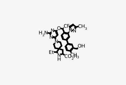 CCC1NC(C(=O)O)CC12CCN(c1cc(O[C@H](c3ccc(-c4ccc(C)c(CO)c4)cc3-n3ccc(C)n3)C(F)(F)F)nc(N)n1)CC2